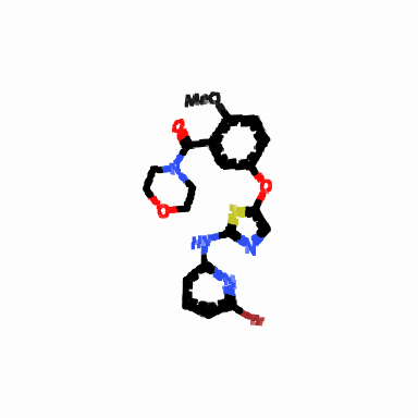 COc1ccc(Oc2cnc(Nc3cccc(Br)n3)s2)cc1C(=O)N1CCOCC1